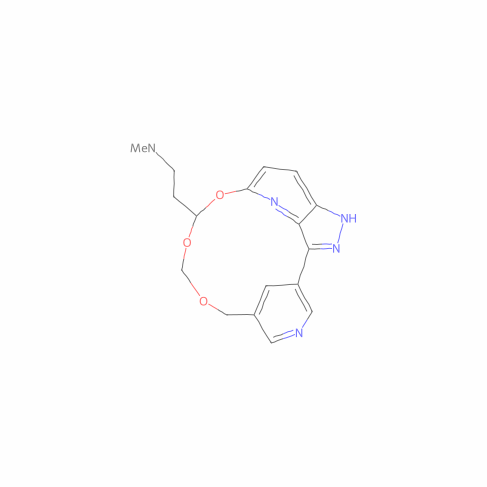 CNCCC1OCOCc2cncc(c2)-c2n[nH]c3ccc(nc23)O1